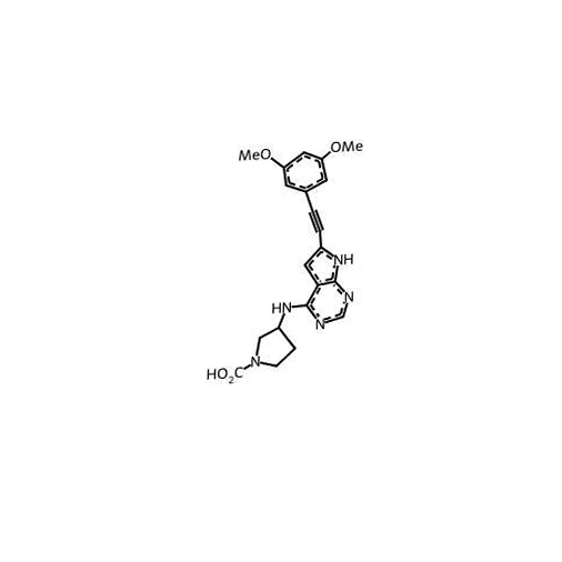 COc1cc(C#Cc2cc3c(NC4CCN(C(=O)O)C4)ncnc3[nH]2)cc(OC)c1